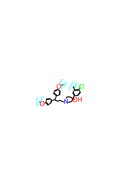 OC1(c2ccc(Cl)c(C(F)(F)F)c2)CCN(CCCC(c2ccc(OC(F)(F)F)cc2)c2ccc(OC(F)(F)F)cc2)CC1